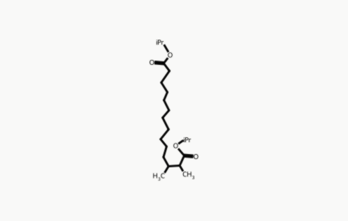 CC(C)OC(=O)CCCCCCCCCCC(C)C(C)C(=O)OC(C)C